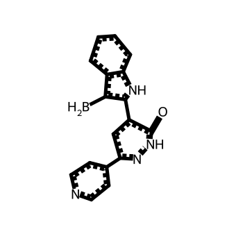 Bc1c(-c2cc(-c3ccncc3)n[nH]c2=O)[nH]c2ccccc12